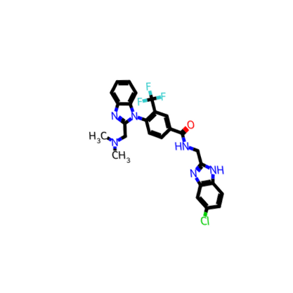 CN(C)Cc1nc2ccccc2n1-c1ccc(C(=O)NCc2nc3cc(Cl)ccc3[nH]2)cc1C(F)(F)F